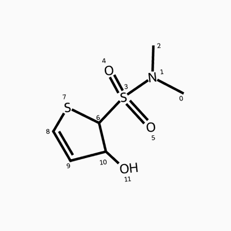 CN(C)S(=O)(=O)C1SC=CC1O